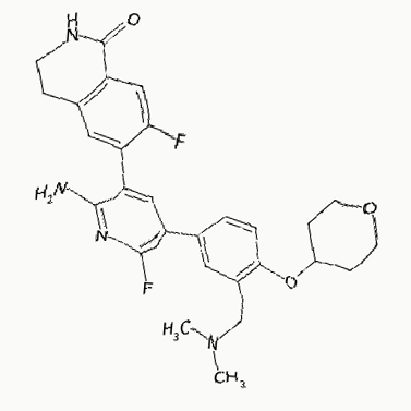 CN(C)Cc1cc(-c2cc(-c3cc4c(cc3F)C(=O)NCC4)c(N)nc2F)ccc1OC1CCOCC1